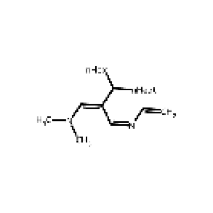 C=C/N=C\C(=C/N(C)C)C(CCCCCC)CCCCCCC